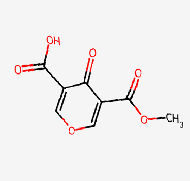 COC(=O)c1cocc(C(=O)O)c1=O